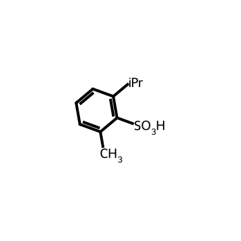 Cc1cccc(C(C)C)c1S(=O)(=O)O